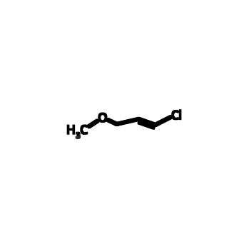 COC/C=C/Cl